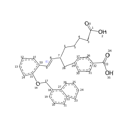 O=C(O)CCCCC(/C=C/c1ccccc1OCc1cccc2ccccc12)Cc1ccc(C(=O)O)cc1